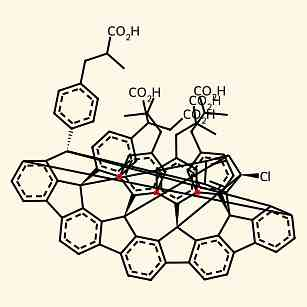 CC(Cc1ccc([C@]23C4=C5[C@]6(c7ccc(CC(C)C(=O)O)cc7)c7c8ccc(c72)-c2ccc7c(c23)[C@]2(c3ccc(C(C)CC(=O)O)cc3)C4=C3[C@@]4(c9ccc(CC(C)C(=O)O)cc9)c9c(ccc-7c92)-c2ccc7c(c24)[C@@](c2ccc(CC(C)C(=O)O)cc2)(c2c-7ccc-8c26)[C@@]53Cl)cc1)C(=O)O